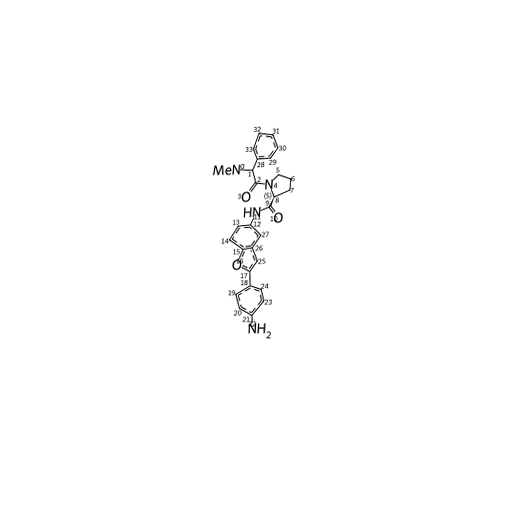 CNC(C(=O)N1CCC[C@H]1C(=O)Nc1ccc2oc(-c3ccc(N)cc3)cc2c1)c1ccccc1